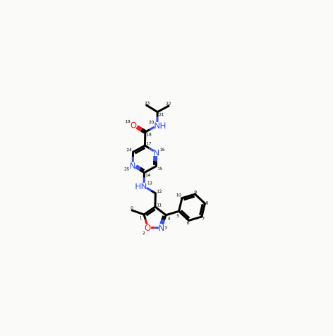 Cc1onc(-c2ccccc2)c1CNc1cnc(C(=O)NC(C)C)cn1